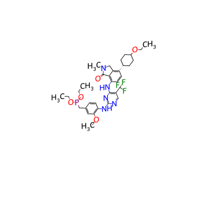 CCOP(Cc1ccc(Nc2ncc(C(F)(F)F)c(Nc3ccc([C@H]4CC[C@H](OCC)CC4)c4c3C(=O)N(C)C4)n2)c(OC)c1)OCC